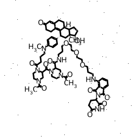 CC(=O)N1CCN(C(=O)CCCN(C)c2ccc([C@H]3C[C@@]4(C)C(CC[C@@H]4O)[C@@H]4CCC5=CC(=O)CCC5=C43)cc2)C(C(=O)N2CCN(C(C)=O)CC2C(=O)NCCCOCCOCCOCCCNc2cccc3c2C(=O)N(C2CCC(=O)NC2=O)C3=O)C1